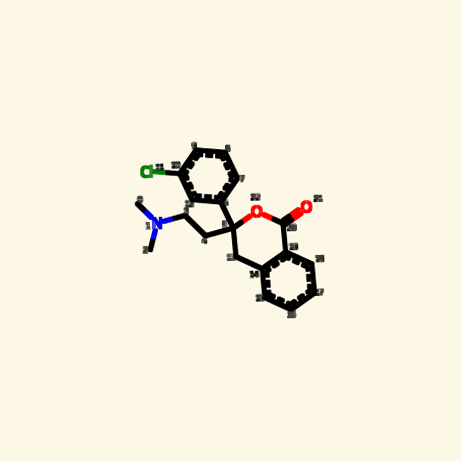 CN(C)CCC1(c2cccc(Cl)c2)Cc2ccccc2C(=O)O1